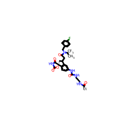 CCC(=O)NCCNC(=O)Nc1ccc2c(c1)C(CC(=O)N(Cc1ccc(F)cc1)[C@@H](C)C(F)(F)F)C[C@@]21OC(=O)NC1=O